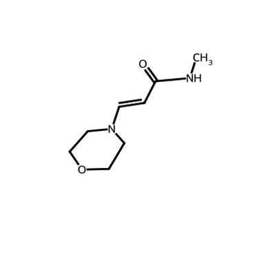 CNC(=O)C=CN1CCOCC1